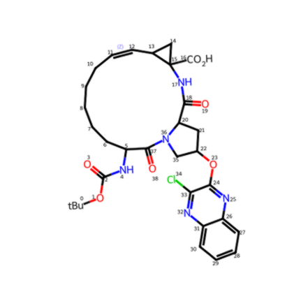 CC(C)(C)OC(=O)NC1CCCCC/C=C\C2CC2(C(=O)O)NC(=O)C2CC(Oc3nc4ccccc4nc3Cl)CN2C1=O